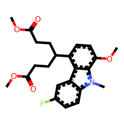 COC(=O)CCC(CCC(=O)OC)c1ccc(OC)c2c1c1cc(F)ccc1n2C